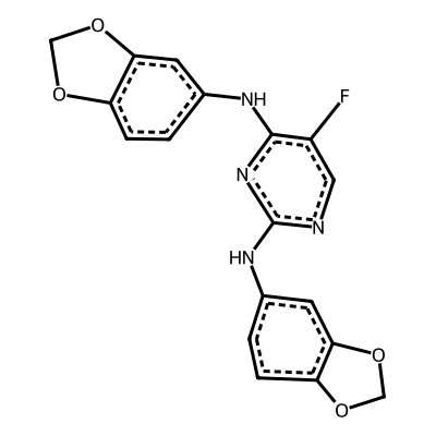 Fc1cnc(Nc2ccc3c(c2)OCO3)nc1Nc1ccc2c(c1)OCO2